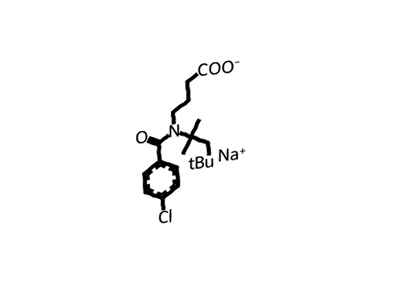 CC(C)(C)CC(C)(C)N(CCCC(=O)[O-])C(=O)c1ccc(Cl)cc1.[Na+]